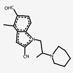 Cc1c(C=O)ccc2c1cc(C#N)n2CC(C)N1CCCCC1